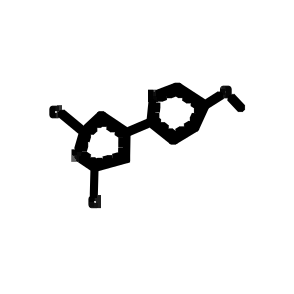 COc1ccc(-c2cc(Cl)nc(Cl)c2)nc1